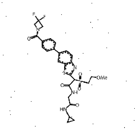 COCCS(=O)(=O)C(C(=O)NCC(=O)NC1CC1)c1nc2ccc(-c3ccc(C(=O)N4CC(F)(F)C4)cc3)cc2s1